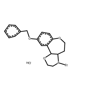 CCN1CCOC2c3cc(OCc4ccccc4)ccc3OCCC21.Cl